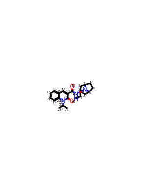 C=CCN1C2CCC1CC(NC(=O)c1cc3ccccc3n(C(C)C)c1=O)C2